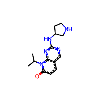 CC(C)n1c(=O)ccc2cnc(NC3CCNC3)nc21